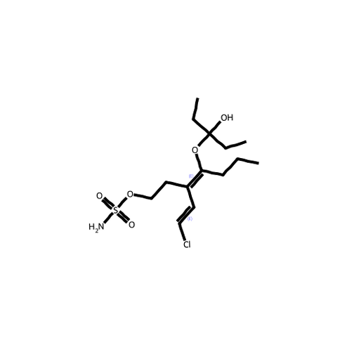 CCC/C(OC(O)(CC)CC)=C(\C=C\Cl)CCOS(N)(=O)=O